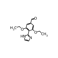 CCOc1cc(C=O)cc(OCC)c1-c1ncc[nH]1